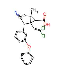 CC1(C)C(C(=O)O)C1(C=C(Cl)Cl)C(C#N)c1cccc(Oc2ccccc2)c1